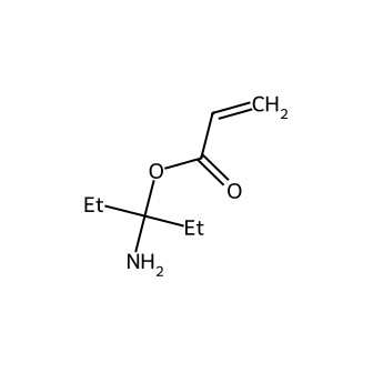 C=CC(=O)OC(N)(CC)CC